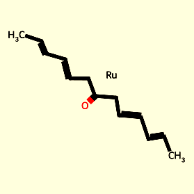 CC=CC=CCC(=O)CC=CC=CC.[Ru]